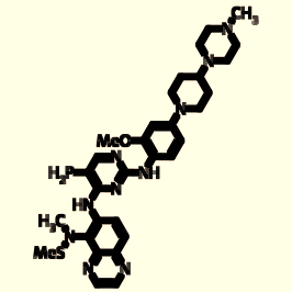 COc1cc(N2CCC(N3CCN(C)CC3)CC2)ccc1Nc1ncc(P)c(Nc2ccc3nccnc3c2N(C)SC)n1